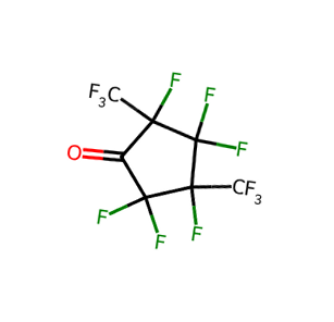 O=C1C(F)(F)C(F)(C(F)(F)F)C(F)(F)C1(F)C(F)(F)F